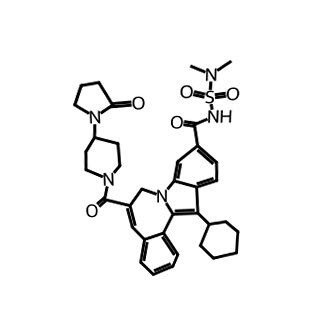 CN(C)S(=O)(=O)NC(=O)c1ccc2c(C3CCCCC3)c3n(c2c1)CC(C(=O)N1CCC(N2CCCC2=O)CC1)=Cc1ccccc1-3